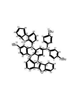 CC(C)(C)c1ccc(N(c2ccc(C(C)(C)C)cc2)c2cc3c4c(c2)-n2c5c(c6cccc(c62)B4c2ccc(C(C)(C)C)cc2N3c2cccc3c2sc2ccccc23)OC2=CC=CCC25)cc1